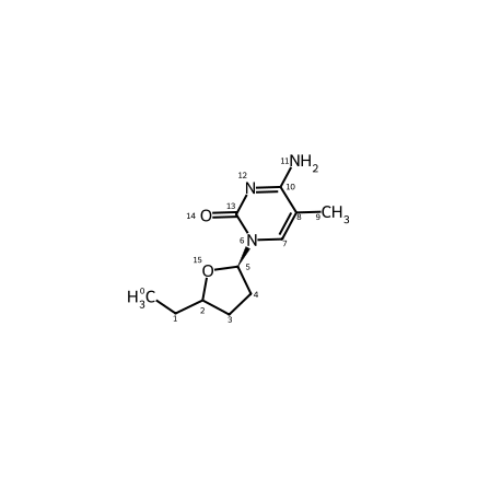 CCC1CC[C@H](n2cc(C)c(N)nc2=O)O1